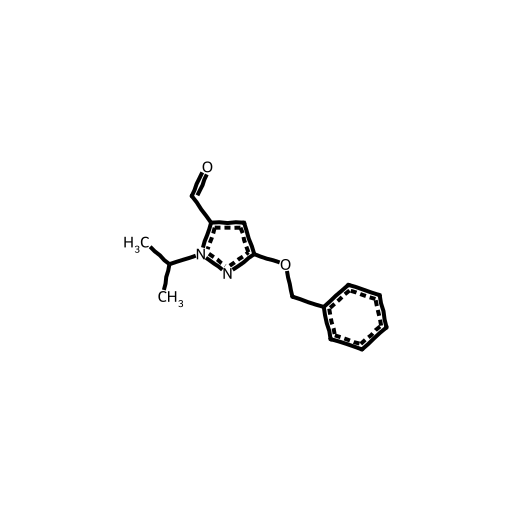 CC(C)n1nc(OCc2ccccc2)cc1C=O